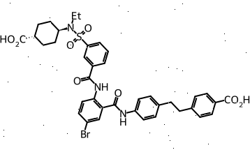 CCN([C@H]1CC[C@H](C(=O)O)CC1)S(=O)(=O)c1cccc(C(=O)Nc2ccc(Br)cc2C(=O)Nc2ccc(CCc3ccc(C(=O)O)cc3)cc2)c1